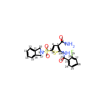 NC(=O)c1cc(S(=O)(=O)N2Cc3ccccc3C2)sc1NC(=O)c1ccccc1F